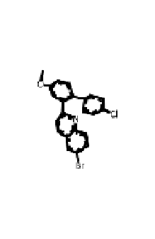 COc1ccc(-c2ccc(Cl)cc2)c(-c2ccc3cc(Br)ccc3n2)c1